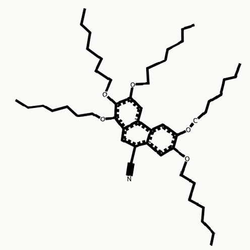 CCCCCCCOc1cc2c(C#N)cc3c(OCCCCCCC)c(OCCCCCCC)c(OCCCCCCC)cc3c2cc1OCCCCCCC